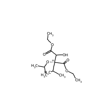 CCOC(=O)C(O)[C@@](OC(C)C)(C(=O)OCC)C(C)C